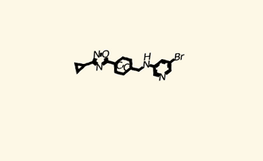 Brc1cncc(NCC23CCC(c4nc(C5CC5)no4)(CC2)CC3)c1